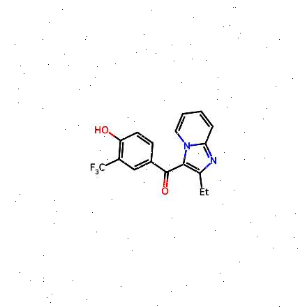 CCc1nc2ccccn2c1C(=O)c1ccc(O)c(C(F)(F)F)c1